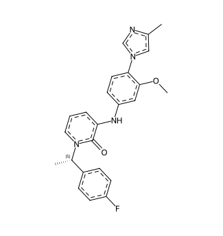 COc1cc(Nc2cccn([C@@H](C)c3ccc(F)cc3)c2=O)ccc1-n1cnc(C)c1